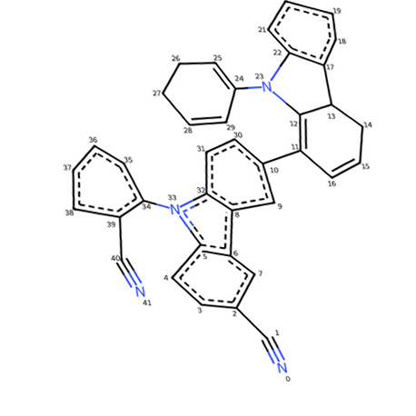 N#Cc1ccc2c(c1)c1cc(C3=C4C(CC=C3)c3ccccc3N4C3=CCCC=C3)ccc1n2-c1ccccc1C#N